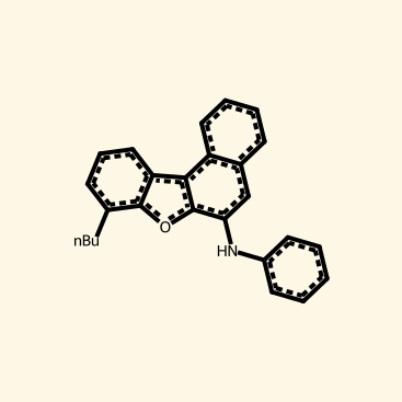 CCCCc1cccc2c1oc1c(Nc3ccccc3)cc3ccccc3c12